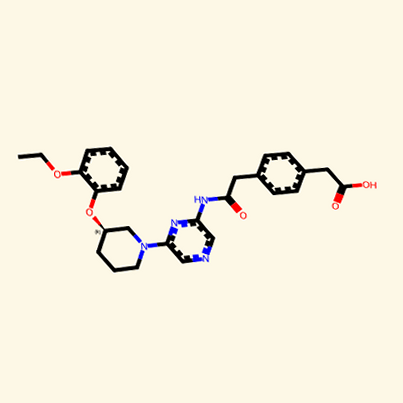 CCOc1ccccc1O[C@@H]1CCCN(c2cncc(NC(=O)Cc3ccc(CC(=O)O)cc3)n2)C1